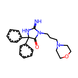 N=C1NC(c2ccccc2)(c2ccccc2)C(=O)N1CCCN1CCOCC1